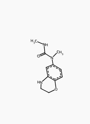 CNC(=O)N(C)c1ccc2c(c1)NCCO2